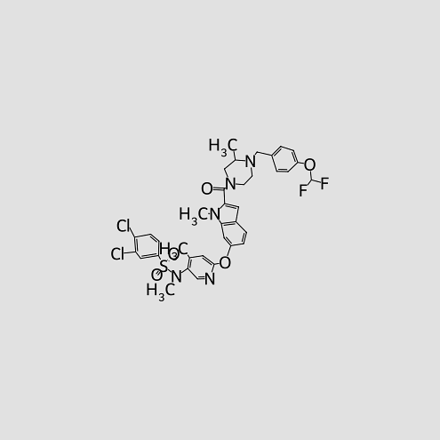 Cc1cc(Oc2ccc3cc(C(=O)N4CCN(Cc5ccc(OC(F)F)cc5)C(C)C4)n(C)c3c2)ncc1N(C)S(=O)(=O)c1ccc(Cl)c(Cl)c1